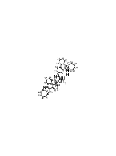 CN/C(=N\C(=N)C1=CC(C2=C(C3=CC=CCC3)C3C=CC=CC(C3)N2)=CCC1)c1cccc(C2=C(c3ccccc3)C=C3C=CC=CC(=N2)C3)c1